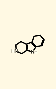 C1=Cc2[nH]c3c(c2CC1)CCNC3